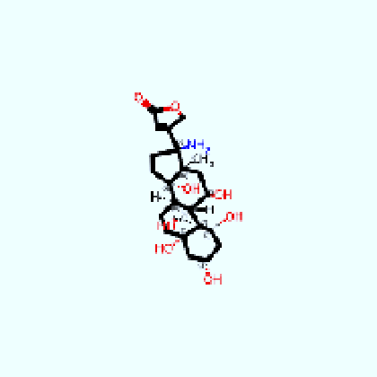 C[C@]12C[C@@H](O)[C@H]3[C@@H](CC[C@]4(O)C[C@@H](O)C[C@@H](O)[C@]34CO)[C@@]1(O)CC[C@]2(N)C1=CC(=O)OC1